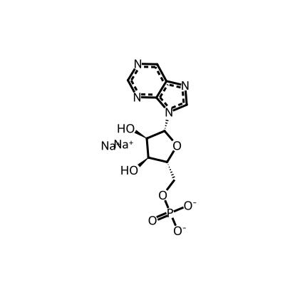 O=P([O-])([O-])OC[C@H]1O[C@@H](n2cnc3cncnc32)[C@H](O)[C@@H]1O.[Na+].[Na+]